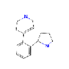 CN1CC=C(c2ccccc2C2CCCN2)CC1